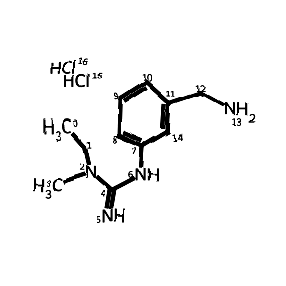 CCN(C)C(=N)Nc1cccc(CN)c1.Cl.Cl